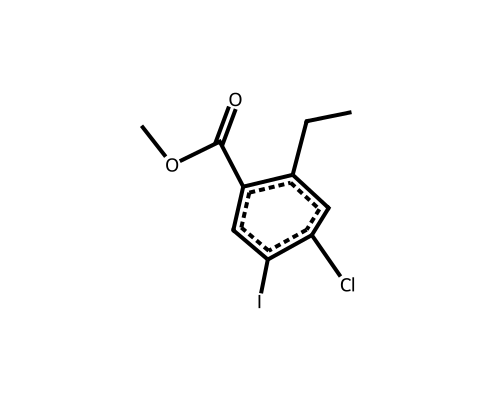 CCc1cc(Cl)c(I)cc1C(=O)OC